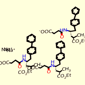 CCOC(=O)[C@H](C)C[C@@H](Cc1ccc(-c2ccccc2)cc1)NC(=O)CCC(=O)[O-].CCOC(=O)[C@H](C)C[C@@H](Cc1ccc(-c2ccccc2)cc1)NC(=O)CCC(=O)[O-].CCOC(=O)[C@H](C)C[C@@H](Cc1ccc(-c2ccccc2)cc1)NC(=O)CCC(=O)[O-].[Na+].[Na+].[Na+]